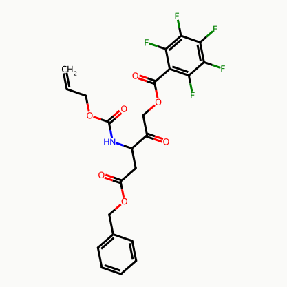 C=CCOC(=O)NC(CC(=O)OCc1ccccc1)C(=O)COC(=O)c1c(F)c(F)c(F)c(F)c1F